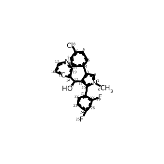 Cn1cc(-c2ccc(Cl)cc2)c(C(O)c2cccnc2)c1-c1ccc(F)cc1F